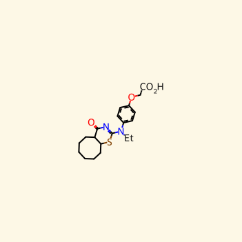 CCN(C1=NC(=O)C2CCCCCCC2S1)c1ccc(OCC(=O)O)cc1